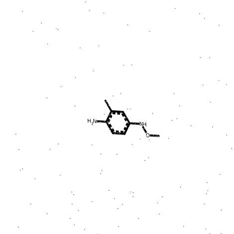 CONc1ccc(N)c(C)c1